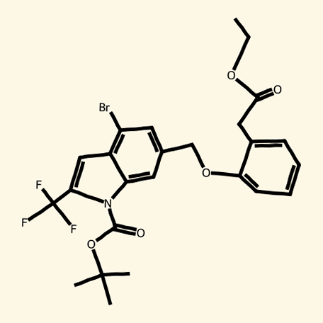 CCOC(=O)Cc1ccccc1OCc1cc(Br)c2cc(C(F)(F)F)n(C(=O)OC(C)(C)C)c2c1